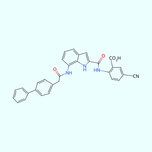 N#Cc1ccc(NC(=O)c2cc3cccc(NC(=O)Cc4ccc(-c5ccccc5)cc4)c3[nH]2)c(C(=O)O)c1